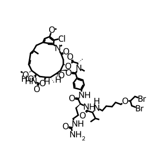 COc1cc2cc(c1Cl)N(C)C(=O)C[C@H](OC(=O)[C@H](C)N(C)C(=O)c1ccc(NC(=O)[C@H](CCCNC(N)=O)NC(=O)[C@@H](NCCCCCOC(CBr)CBr)C(C)C)cc1)[C@]1(C)O[C@H]1[C@H](C)[C@@H]1C[C@@](O)(NC(=O)O1)[C@H](OC)/C=C/C=C(\C)C2